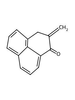 C=C1Cc2cccc3cccc(c23)C1=O